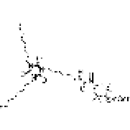 C=CCCCCCCn1c(=O)n(CCCCCCC=C)c(=O)n(CCCCCCNC(=O)NC2CC(C)(C)N(OCCCCCCCC)C(C)(C)C2)c1=O